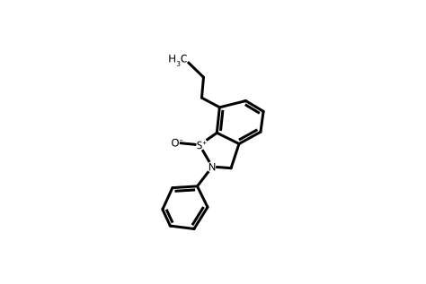 CCCc1cccc2c1[S+]([O-])N(c1ccccc1)C2